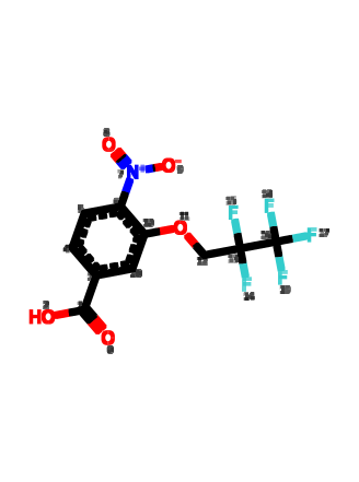 O=C(O)c1ccc([N+](=O)[O-])c(OCC(F)(F)C(F)(F)F)c1